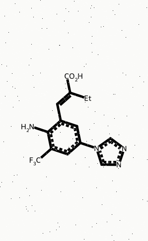 CC/C(=C\c1cc(-n2cnnc2)cc(C(F)(F)F)c1N)C(=O)O